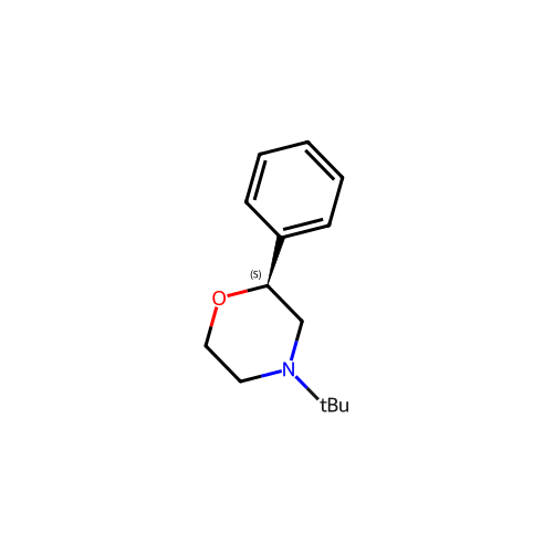 CC(C)(C)N1CCO[C@@H](c2ccccc2)C1